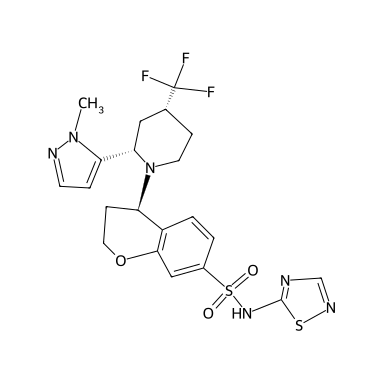 Cn1nccc1[C@@H]1C[C@H](C(F)(F)F)CCN1[C@@H]1CCOc2cc(S(=O)(=O)Nc3ncns3)ccc21